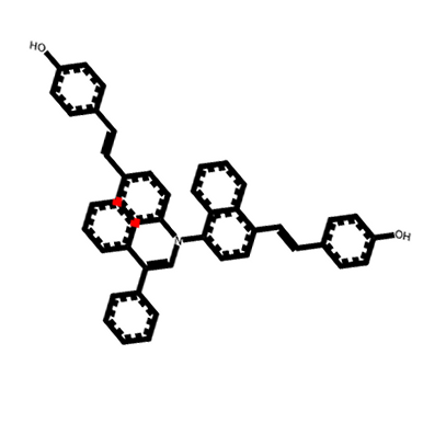 Oc1ccc(C=Cc2ccc(N(C=C(c3ccccc3)c3ccccc3)c3ccc(C=Cc4ccc(O)cc4)c4ccccc34)cc2)cc1